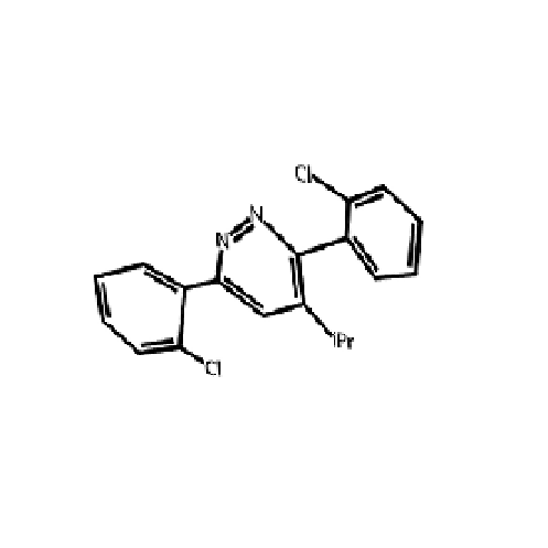 CC(C)c1cc(-c2ccccc2Cl)nnc1-c1ccccc1Cl